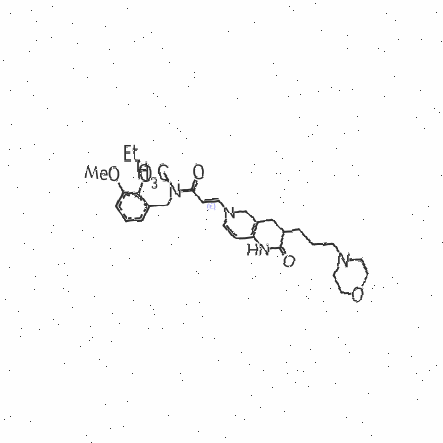 CCOc1c(CN(C)C(=O)/C=C/N2C=CC3=C(CC(CCCN4CCOCC4)C(=O)N3)C2)cccc1OC